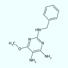 COc1nc(NCc2ccccc2)nc(N)c1N